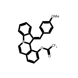 COc1ccc(C=C2c3ccccc3N3C=Cc4cccc(OC(=O)C(F)(F)F)c4C23)cc1